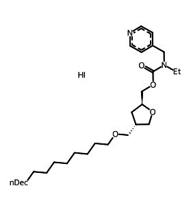 CCCCCCCCCCCCCCCCCCOC[C@H]1CO[C@H](COC(=O)N(CC)Cc2ccncc2)C1.I